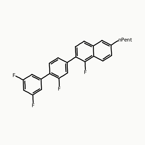 CCCCCc1ccc2c(F)c(-c3ccc(-c4cc(F)cc(F)c4)c(F)c3)ccc2c1